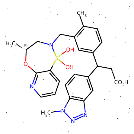 Cc1ccc(C(CC(=O)O)c2ccc3c(c2)nnn3C)cc1CN1C[C@@H](C)Oc2ncccc2S1(O)O